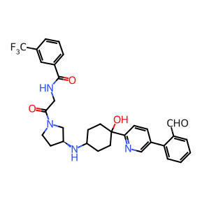 O=Cc1ccccc1-c1ccc(C2(O)CCC(N[C@H]3CCN(C(=O)CNC(=O)c4cccc(C(F)(F)F)c4)C3)CC2)nc1